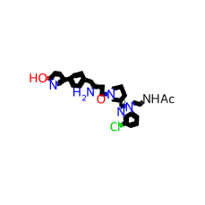 CC(=O)NCCn1c([C@@H]2CCCN(C(=O)C[C@H](N)Cc3ccc(-c4ccc(O)nc4)cc3)C2)nc2c(Cl)cccc21